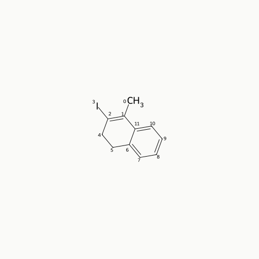 CC1=C(I)CCc2ccccc21